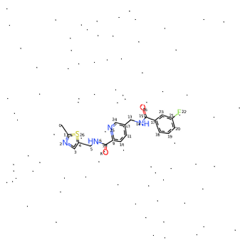 Cc1ncc(CNC(=O)c2ccc(CNC(=O)c3cccc(F)c3)cn2)s1